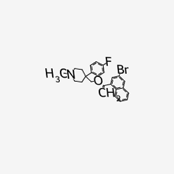 C=C(OCC1(c2ccc(F)cc2)CCN(C)CC1)c1cc(Br)cc2ccccc12